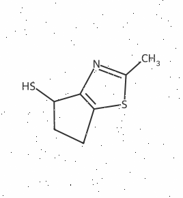 Cc1nc2c(s1)CCC2S